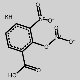 O=C(O)c1cccc([N+](=O)[O-])c1O[N+](=O)[O-].[KH]